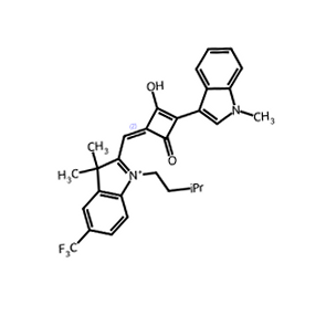 CC(C)CC[N+]1=C(/C=C2\C(=O)C(c3cn(C)c4ccccc34)=C2O)C(C)(C)c2cc(C(F)(F)F)ccc21